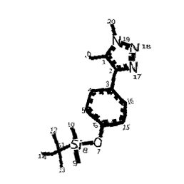 [CH2]c1c(-c2ccc(O[Si](C)(C)C(C)(C)C)cc2)nnn1C